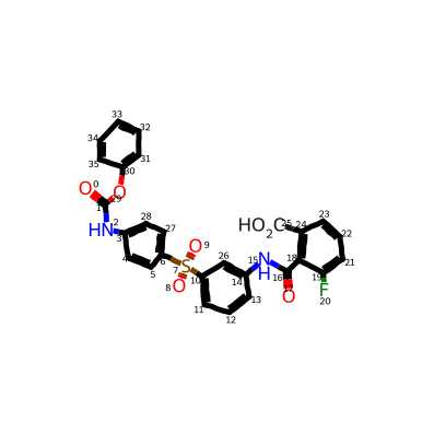 O=C(Nc1ccc(S(=O)(=O)c2cccc(NC(=O)c3c(F)cccc3C(=O)O)c2)cc1)Oc1ccccc1